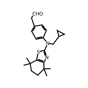 CC1(C)CCC(C)(C)c2sc(N(CC3CC3)c3ccc(CC=O)cc3)nc21